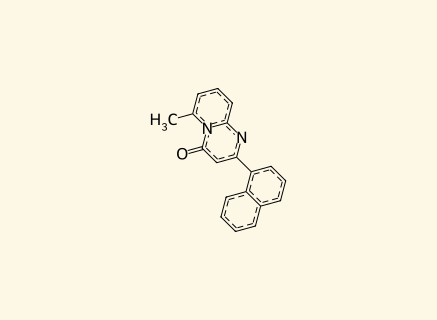 Cc1cccc2nc(-c3cccc4ccccc34)cc(=O)n12